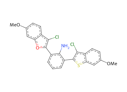 COc1ccc2c(Cl)c(-c3cccc(-c4sc5cc(OC)ccc5c4Cl)c3N)oc2c1